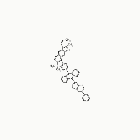 C/C=C\c1c(C)oc2cc3c4c(ccc3cc12)C(C)(C)c1cc(-c2c3ccccc3c(-c3ccc5c(c3)CCC(c3ccccc3)=C5)c3ccccc23)ccc1-4